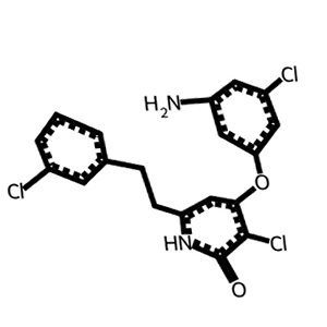 Nc1cc(Cl)cc(Oc2cc(CCc3cccc(Cl)c3)[nH]c(=O)c2Cl)c1